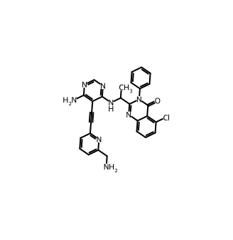 CC(Nc1ncnc(N)c1C#Cc1cccc(CN)n1)c1nc2cccc(Cl)c2c(=O)n1-c1ccccc1